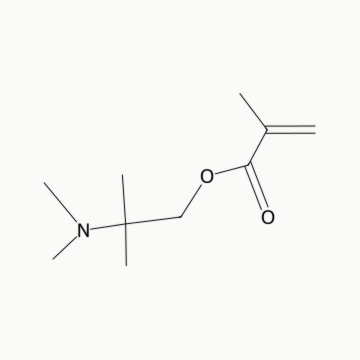 C=C(C)C(=O)OCC(C)(C)N(C)C